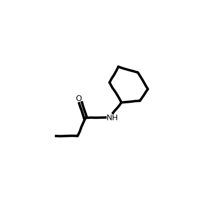 CCC(=O)NC1CCCCC1